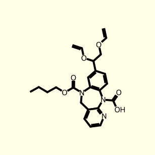 C=COCC(OC=C)c1ccc2c(c1)N(C(=O)OCCCC)Cc1cccnc1N2C(=O)O